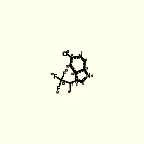 CC(n1cnc2cnc(Cl)cc21)C(F)(F)F